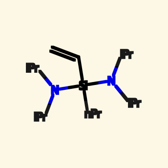 C=C[Si](CCC)(N(C(C)C)C(C)C)N(C(C)C)C(C)C